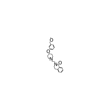 COCc1cccc(OC2CCN(CCN3CCc4ccccc4C3=O)CC2)c1